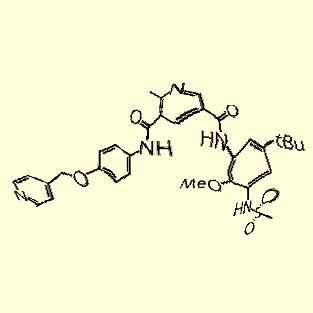 COc1c(NC(=O)c2cnc(C)c(C(=O)Nc3ccc(OCc4ccncc4)cc3)c2)cc(C(C)(C)C)cc1NS(C)(=O)=O